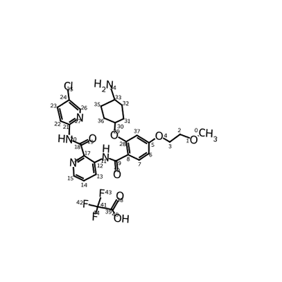 COCCOc1ccc(C(=O)Nc2cccnc2C(=O)Nc2ccc(Cl)cn2)c(OC2CCC(N)CC2)c1.O=C(O)C(F)(F)F